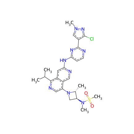 CC(C)c1ncc(N2C[C@H](N(C)S(C)(=O)=O)[C@H]2C)c2cnc(Nc3ccnc(-c4cn(C)nc4Cl)n3)cc12